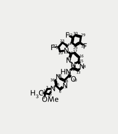 COC1(C)CN(c2cnc(C(=O)Nc3cnc4ccc(N5C[C@@H](F)C[C@@H]5c5cc(F)ccc5F)nn34)nc2)C1